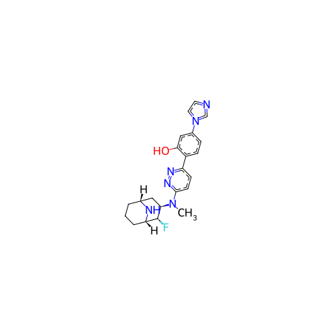 CN(c1ccc(-c2ccc(-n3ccnc3)cc2O)nn1)[C@@H]1C[C@H]2CCC[C@H](N2)[C@@H]1F